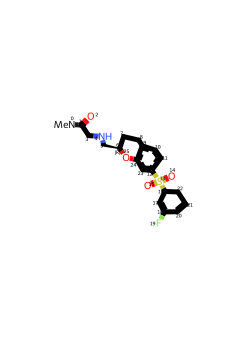 CNC(=O)CNC[C@H]1CCc2ccc(S(=O)(=O)C3C=C(F)C=CC3)cc2O1